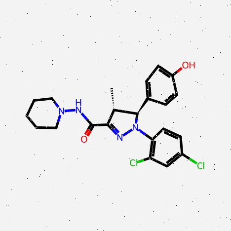 C[C@H]1C(C(=O)NN2CCCCC2)=NN(c2ccc(Cl)cc2Cl)[C@@H]1c1ccc(O)cc1